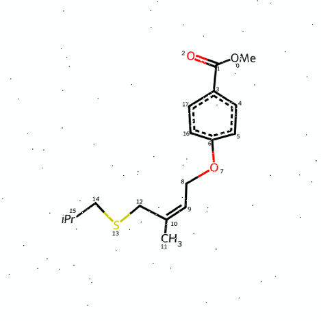 COC(=O)c1ccc(OCC=C(C)CSCC(C)C)cc1